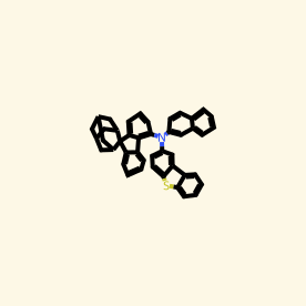 c1ccc2c(c1)-c1c(N(c3ccc4ccccc4c3)c3ccc4sc5ccccc5c4c3)cccc1C21C2CC3CC(C2)CC1C3